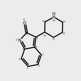 O=C1N=c2ccccc2=C1C1CCCNC1